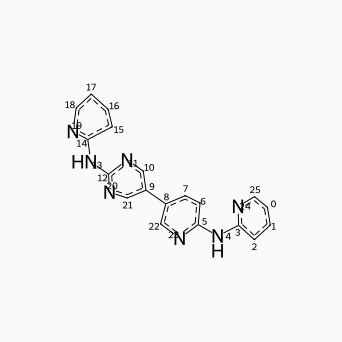 c1ccc(Nc2ccc(-c3cnc(Nc4ccccn4)nc3)cn2)nc1